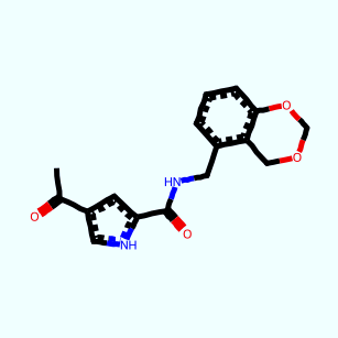 CC(=O)c1c[nH]c(C(=O)NCc2cccc3c2COCO3)c1